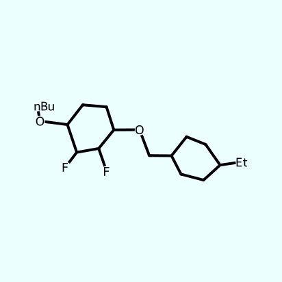 CCCCOC1CCC(OCC2CCC(CC)CC2)C(F)C1F